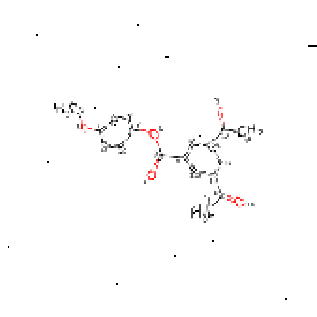 COc1ccc(OC(=O)c2cc(C(C)=O)cc(C(C)=O)c2)cc1